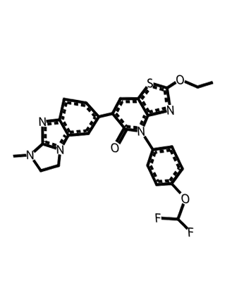 CCOc1nc2c(cc(-c3ccc4nc5n(c4c3)CCN5C)c(=O)n2-c2ccc(OC(F)F)cc2)s1